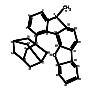 Cn1c2cccc(C34CC5CC(CC(C5)C3)C4)c2c2c3oc4ccccc4c3ccc21